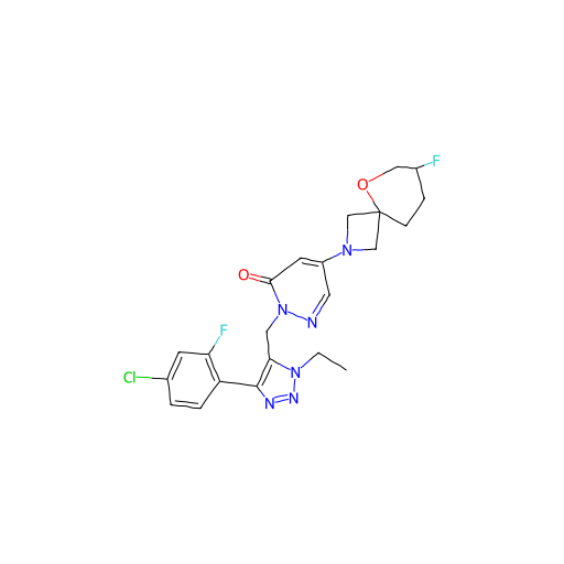 CCn1nnc(-c2ccc(Cl)cc2F)c1Cn1ncc(N2CC3(CCC(F)CO3)C2)cc1=O